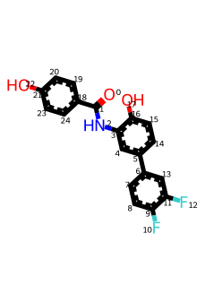 O=C(Nc1cc(-c2ccc(F)c(F)c2)ccc1O)c1ccc(O)cc1